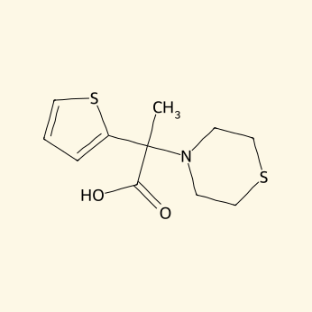 CC(C(=O)O)(c1cccs1)N1CCSCC1